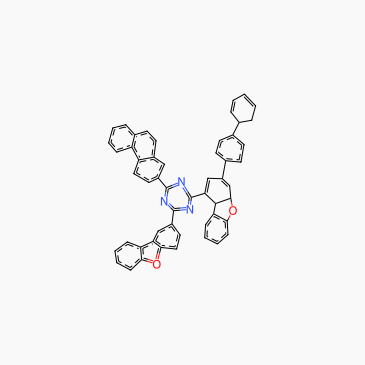 C1=CCC(c2ccc(C3=CC4Oc5ccccc5C4C(c4nc(-c5ccc6c(ccc7ccccc76)c5)nc(-c5ccc6oc7ccccc7c6c5)n4)=C3)cc2)C=C1